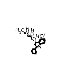 CCNC[C@H](O)COc1cc(-c2ccccc2)nc2ccccc12.Cl